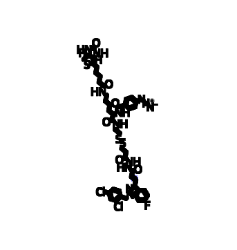 [N-]=[N+]=Nc1ccc(C(=O)NC(CCCCNC(=O)CCCCC2SC[C@@H]3NC(=O)N[C@H]23)C(=O)NCCSSCCC(=O)NNC(=O)/C=C/c2nn(Cc3ccc(Cl)cc3Cl)c3cc(F)ccc23)cc1